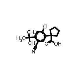 CC(C)(C)c1cc(Cl)c(C2(C(=O)O)CCCC2)cc1C#N